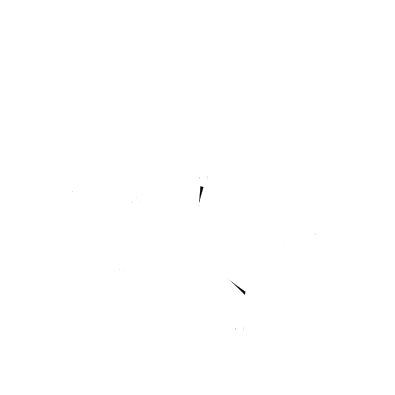 CC(=O)O[C@@H]1[C@@H](OCc2ccccc2)[C@H](OC(C)=O)[C@@H](CO)O[C@@H]1Br